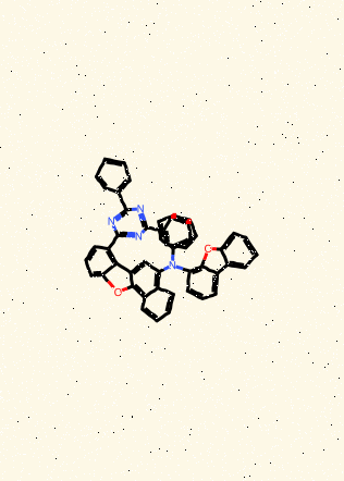 c1ccc(-c2nc(-c3ccccc3)nc(-c3cccc4oc5c6ccccc6c(N(c6ccccc6)c6cccc7c6oc6ccccc67)cc5c34)n2)cc1